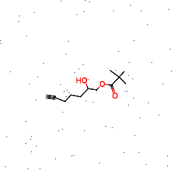 C#CCCCC(O)COC(=O)C(C)(C)C